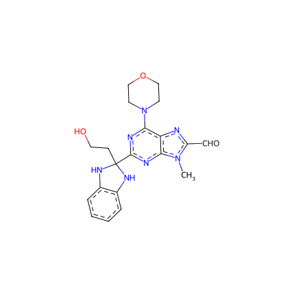 Cn1c(C=O)nc2c(N3CCOCC3)nc(C3(CCO)Nc4ccccc4N3)nc21